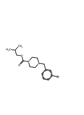 CC(C)COC(=O)N1CCN(Cc2cccc(Br)c2)CC1